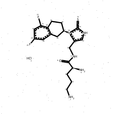 Cl.NCCC[C@H](N)C(=O)NCc1c[nH]c(=S)n1[C@@H]1CCc2c(F)cc(F)cc2C1